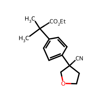 CCOC(=O)C(C)(C)c1ccc(C2(C#N)CCOC2)cc1